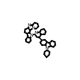 c1ccc(-n2c3ccccc3c3cc(-c4cc(-n5c6ccccc6c6ccc7nc8ccccn8c7c65)nc5ccccc45)ccc32)cc1